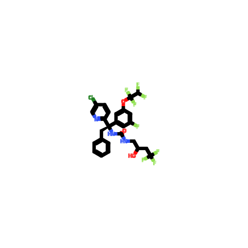 O=C(NCC(O)CC(F)(F)F)N[C@@](Cc1ccccc1)(c1cc(F)cc(OC(F)(F)C(F)F)c1)c1ccc(Cl)cn1